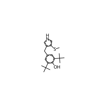 CSc1c[nH]cc1Cc1cc(C(C)(C)C)c(O)c(C(C)(C)C)c1